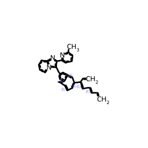 C=C/C=C/C=C(C=C)/C1=C/C=C/C=c2\ccc(-c3c(-c4cccc(C)n4)nc4ccccn34)c\c2=C\1